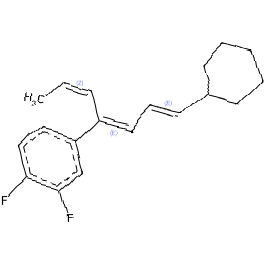 C\C=C/C(=C\C=C\C1CCCCC1)c1ccc(F)c(F)c1